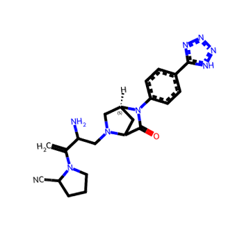 C=C(C(N)CN1C[C@@H]2CC1C(=O)N2c1ccc(-c2nnn[nH]2)cc1)N1CCCC1C#N